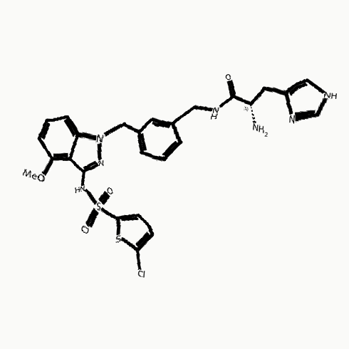 COc1cccc2c1c(NS(=O)(=O)c1ccc(Cl)s1)nn2Cc1cccc(CNC(=O)[C@@H](N)Cc2c[nH]cn2)c1